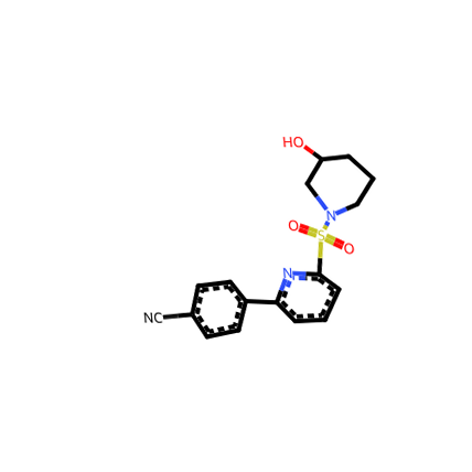 N#Cc1ccc(-c2cccc(S(=O)(=O)N3CCCC(O)C3)n2)cc1